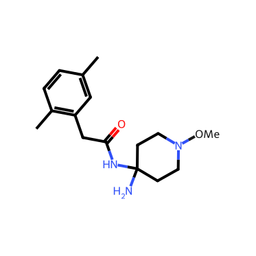 CON1CCC(N)(NC(=O)Cc2cc(C)ccc2C)CC1